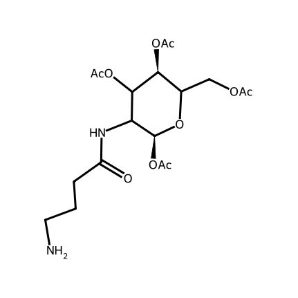 CC(=O)OCC1O[C@@H](OC(C)=O)C(NC(=O)CCCN)C(OC(C)=O)[C@H]1OC(C)=O